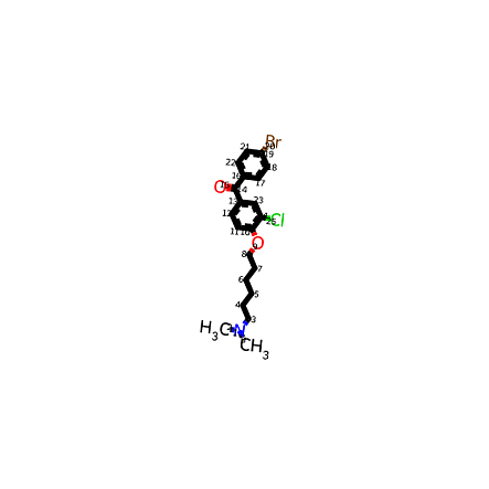 CN(C)CCCCCCOc1ccc(C(=O)c2ccc(Br)cc2)cc1Cl